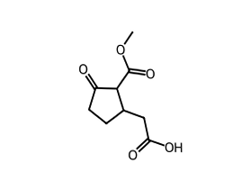 COC(=O)C1C(=O)CCC1CC(=O)O